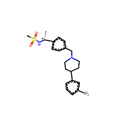 C[C@@H](NS(C)(=O)=O)c1ccc(CN2CCC(c3cccc(C(F)(F)F)c3)CC2)cc1